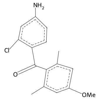 COc1cc(C)c(C(=O)c2ccc(N)cc2Cl)c(C)c1